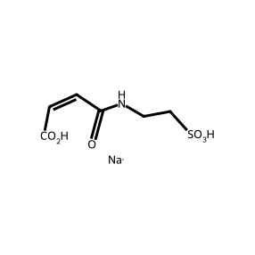 O=C(O)/C=C\C(=O)NCCS(=O)(=O)O.[Na]